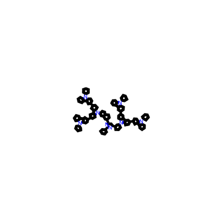 c1ccc(-c2nc(-c3cccc(-n4c5ccc(-c6ccc7c(c6)c6ccccc6n7-c6ccccc6)cc5c5cc(-c6ccc7c(c6)c6ccccc6n7-c6ccccc6)ccc54)c3)cc(-c3ccc4ccc(-n5c6ccc(-c7ccc8c(c7)c7ccccc7n8-c7ccccc7)cc6c6cc(-c7ccc8c(c7)c7ccccc7n8-c7ccccc7)ccc65)cc4c3)n2)cc1